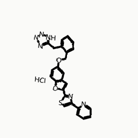 Cl.c1ccc(-c2csc(-c3cc4cc(OCc5ccccc5Cc5nnn[nH]5)ccc4o3)n2)nc1